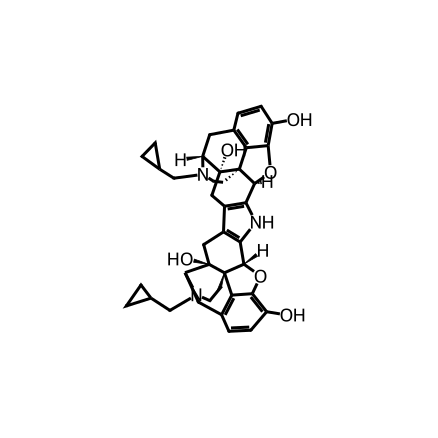 Oc1ccc2c3c1O[C@H]1c4[nH]c5c(c4C[C@@]4(O)C(C2)N(CC2CC2)CC[C@]314)C[C@@]1(O)[C@H]2Cc3ccc(O)c4c3[C@@]1(CCN2CC1CC1)[C@H]5O4